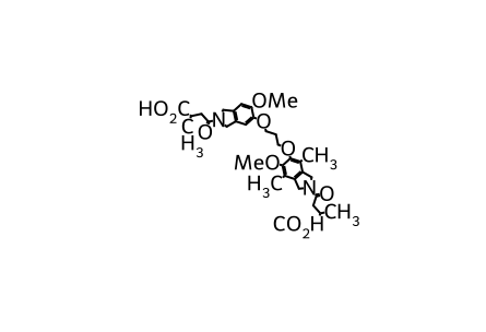 COc1cc2c(cc1OCCCOc1c(C)c3c(c(C)c1OC)CN(C(=O)CC(C)C(=O)O)C3)CN(C(=O)CC(C)C(=O)O)C2